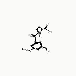 COc1cc(OC)cc(C(=O)c2ccc(C(=O)O)[nH]2)c1